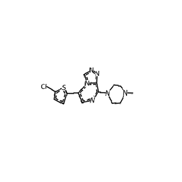 CN1CCN(c2ncc(-c3ccc(Cl)s3)n3cnnc23)CC1